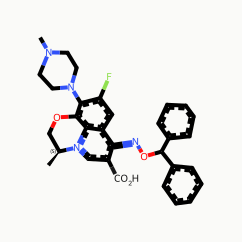 C[C@H]1COc2c(N3CCN(C)CC3)c(F)cc3c(=NOC(c4ccccc4)c4ccccc4)c(C(=O)O)cn1c23